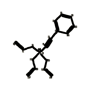 C=CC[PH](C#Cc1ccccc1)(CC=C)CC=C